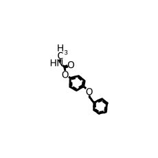 CNC(=O)Oc1ccc(OCc2ccccc2)cc1